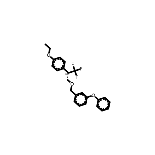 CCOc1ccc([C@@H](COCc2cccc(Oc3ccccc3)c2)C(F)(F)F)cc1